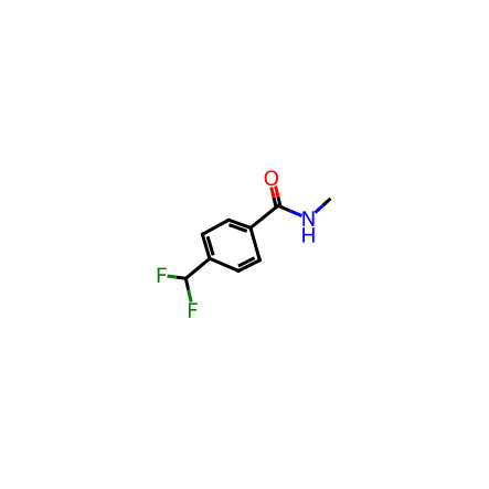 CNC(=O)c1ccc(C(F)F)cc1